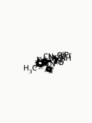 Cc1cnc2c(C#N)c(-c3ncc(S(=O)(=O)NC(C)C)cn3)n(C3CCC3)c2c1